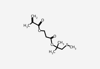 C=C(C)C(=O)OCCC(=O)OC(C)(C)CSC